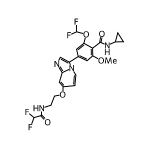 COc1cc(-c2cnc3cc(OCCNC(=O)C(F)F)ccn23)cc(OC(F)F)c1C(=O)NC1CC1